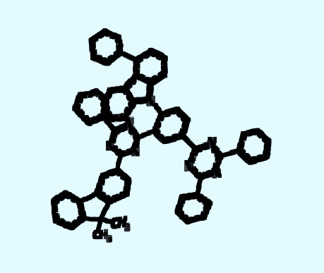 CC1(C)c2ccccc2-c2cc(-c3nc(-c4ccccc4)nc(-c4cc(-c5nc(-c6ccccc6)nc(-c6ccccc6)n5)ccc4-n4c5ccccc5c5c(-c6ccccc6)cccc54)n3)ccc21